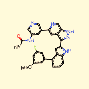 CCCC(=O)Nc1cncc(-c2cc3c(-c4cc5c(-c6cc(F)cc(OC)c6)cccc5[nH]4)n[nH]c3cn2)c1